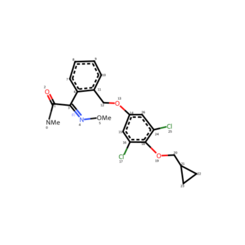 CNC(=O)/C(=N/OC)c1ccccc1COc1cc(Cl)c(OCC2CC2)c(Cl)c1